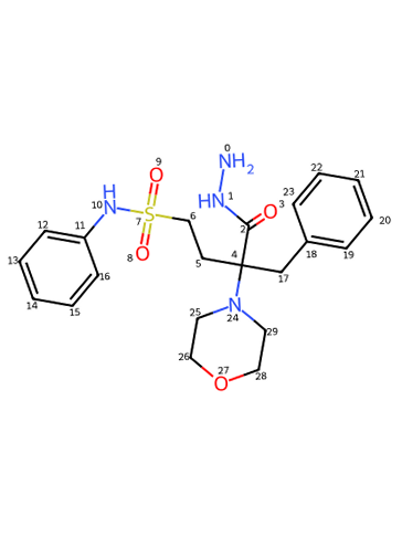 NNC(=O)C(CCS(=O)(=O)Nc1ccccc1)(Cc1ccccc1)N1CCOCC1